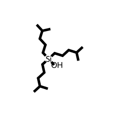 CC(C)CCC[Si](O)(CCCC(C)C)CCCC(C)C